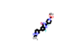 Cc1cn2cc(-c3cc(F)c4nc(C5(F)CCN(C(=O)OC(C)(C)C)CC5)[nH]c(=O)c4c3)ccc2n1